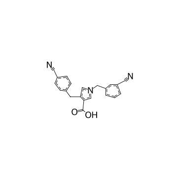 N#Cc1ccc(Cc2cn(Cc3cccc(C#N)c3)cc2C(=O)O)cc1